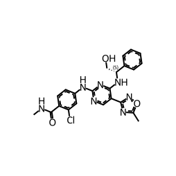 CNC(=O)c1ccc(Nc2ncc(-c3noc(C)n3)c(N[C@H](CO)c3ccccc3)n2)cc1Cl